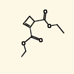 CCOC(=O)C1=CCC1C(=O)OCC